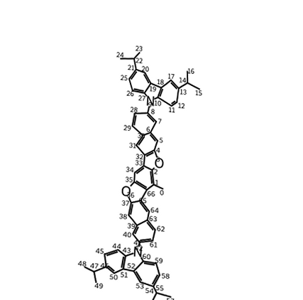 Cc1c2oc3cc4cc(-n5c6ccc(C(C)C)cc6c6cc(C(C)C)ccc65)ccc4cc3c2cc2oc3cc4cc(-n5c6ccc(C(C)C)cc6c6cc(C(C)C)ccc65)ccc4cc3c12